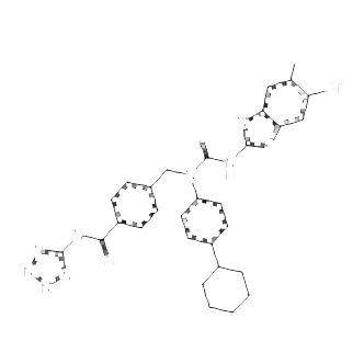 O=C(Nc1nn[nH]n1)c1ccc(CN(C(=O)Nc2nc3cc(F)c(C(F)(F)F)cc3s2)c2ccc(C3CCCCC3)cc2)cc1